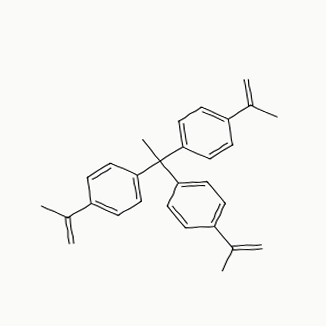 C=C(C)c1ccc(C(C)(c2ccc(C(=C)C)cc2)c2ccc(C(=C)C)cc2)cc1